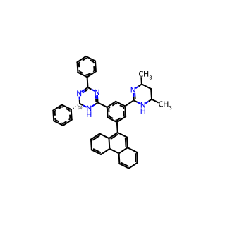 CC1CC(C)NC(c2cc(C3=NC(c4ccccc4)=N[C@@H](c4ccccc4)N3)cc(C3=C4C=CC=CC4C4C=CC=CC4=C3)c2)=N1